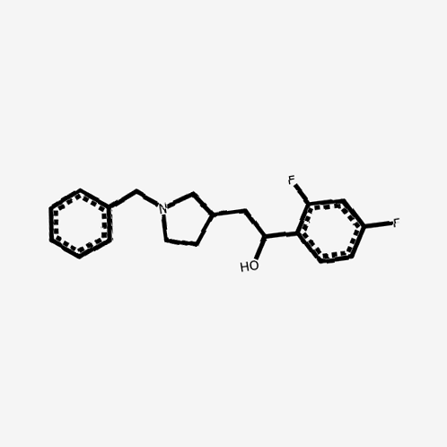 OC(CC1CCN(Cc2ccccc2)C1)c1ccc(F)cc1F